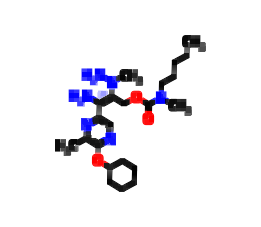 CCCCCN(C)C(=O)OC/C(=C(/N)c1cnc(OC2CCCCC2)c(C)n1)N(C)N